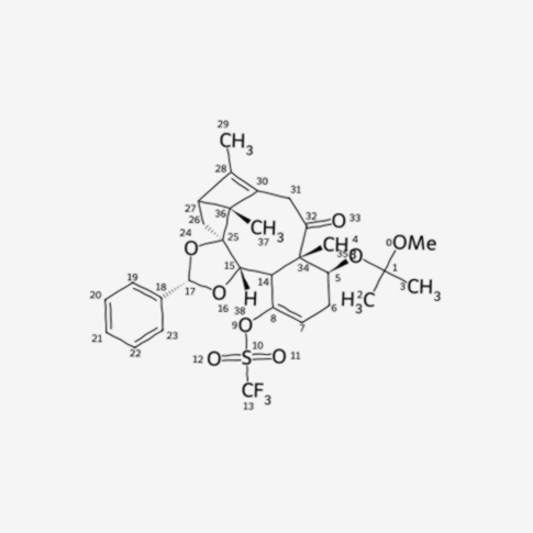 COC(C)(C)O[C@H]1CC=C(OS(=O)(=O)C(F)(F)F)C2[C@@H]3O[C@H](c4ccccc4)O[C@]34CC3C(C)=C(CC(=O)[C@@]21C)[C@@]34C